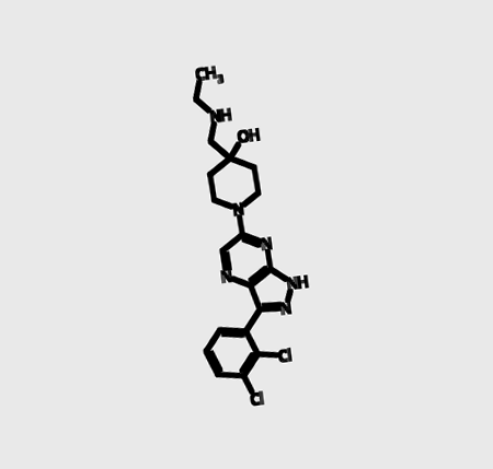 CCNCC1(O)CCN(c2cnc3c(-c4cccc(Cl)c4Cl)n[nH]c3n2)CC1